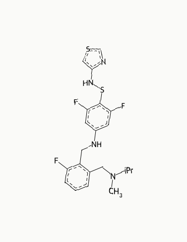 CC(C)N(C)Cc1cccc(F)c1CNc1cc(F)c(SNc2cscn2)c(F)c1